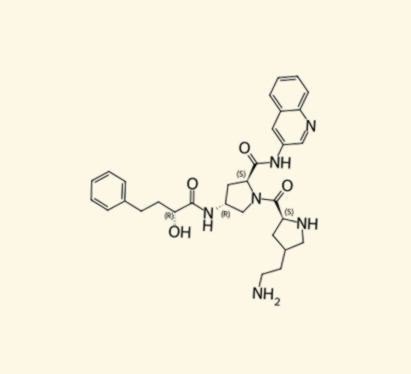 NCCC1CN[C@H](C(=O)N2C[C@H](NC(=O)[C@H](O)CCc3ccccc3)C[C@H]2C(=O)Nc2cnc3ccccc3c2)C1